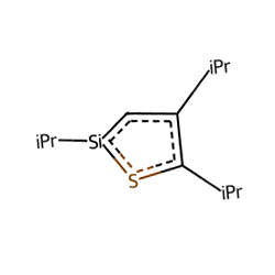 CC(C)c1c[si](C(C)C)sc1C(C)C